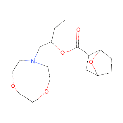 CCC(CN1CCOCCOCC1)OC(=O)C1CC2CCC1O2